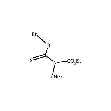 CCCCCCN(C(=O)OCC)C(=S)OCC